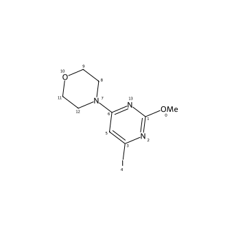 COc1nc(I)cc(N2CCOCC2)n1